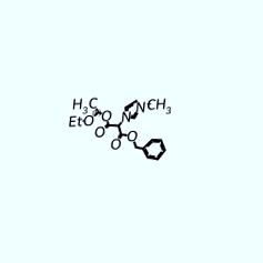 CCO[C@@H](C)OC(=O)C(C(=O)OCc1ccccc1)n1cc[n+](C)c1